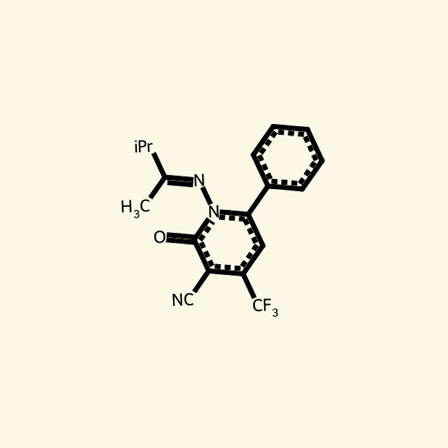 CC(=Nn1c(-c2ccccc2)cc(C(F)(F)F)c(C#N)c1=O)C(C)C